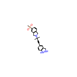 CC(C)(C#Cc1ccc2c(c1)CNN2)N1Cc2ccc(S(C)(=O)=O)cc2C1